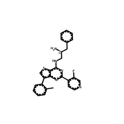 Cc1ccccc1-c1csc2c(NC[C@@H](N)Cc3ccccc3)nc(-c3ccncc3F)nc12